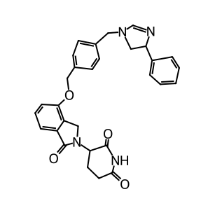 O=C1CCC(N2Cc3c(OCc4ccc(CN5C=NC(c6ccccc6)C5)cc4)cccc3C2=O)C(=O)N1